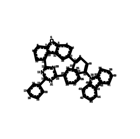 C1=C(c2ccc3oc4cccc(-c5nc(-c6ccccc6)nc(-c6ccccc6)n5)c4c3c2)CCC(n2c3ccccc3c3ccccc32)=C1